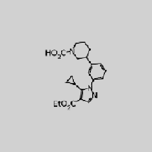 CCOC(=O)c1cnn(-c2cccc(C3CCCN(C(=O)O)C3)c2)c1C1CC1